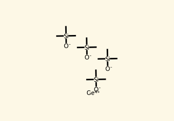 C[Si](C)(C)[O-].C[Si](C)(C)[O-].C[Si](C)(C)[O-].C[Si](C)(C)[O-].[Ge+4]